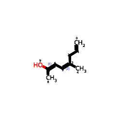 C=CC/C(C)=C\C=C(/C)O